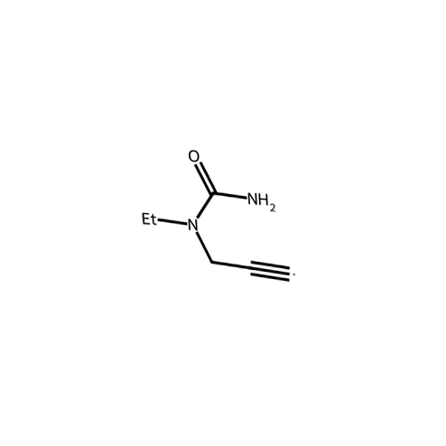 [C]#CCN(CC)C(N)=O